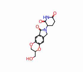 O=C1CCC(N2Cc3cc4c(cc3C2=O)OCC(CO)O4)C(=O)N1